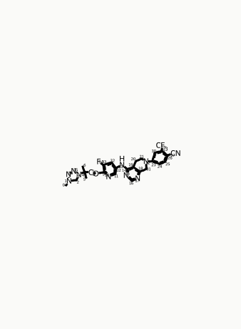 CN1CN(C(C)(C)COc2ncc(Nc3ncnc4c3CCN(c3ccc(C#N)c(C(F)(F)F)c3)C4)cc2F)N=N1